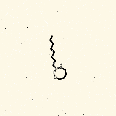 CCCCCCCCN1BCCCCOO1